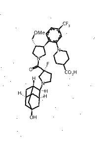 COC[C@H]1CN(C(=O)[C@@]2(F)CCN([C@H]3[C@@H]4C[C@@H]5C[C@H]3C[C@@](O)(C5)C4)C2)C[C@@H]1c1ccc(C(F)(F)F)cc1N1CCC(C(=O)O)CC1